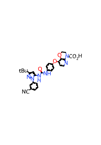 CC(C)(C)c1cc(NC(=O)Nc2ccc(Oc3ccnc4c3OCCN4C(=O)O)cc2)n(-c2cccc(C#N)c2)n1